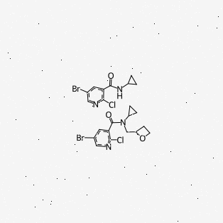 O=C(NC1CC1)c1cc(Br)cnc1Cl.O=C(c1cc(Br)cnc1Cl)N(CC1CCO1)C1CC1